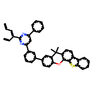 C=C/C=C(\C=C)c1nc(-c2ccccc2)cc(-c2cccc(-c3ccc4c(c3)C(C)(C)c3ccc5c(sc6ccccc65)c3O4)c2)n1